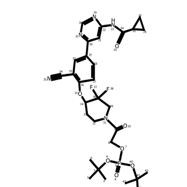 CC(C)(C)OP(=O)(OCC(=O)N1CCC(Oc2ccc(-c3cc(NC(=O)C4CC4)ncn3)cc2C#N)C(F)(F)C1)OC(C)(C)C